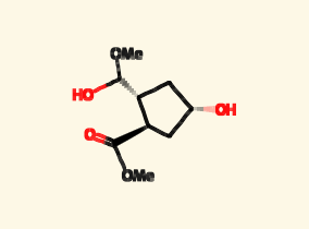 COC(=O)[C@@H]1C[C@@H](O)C[C@H]1C(O)OC